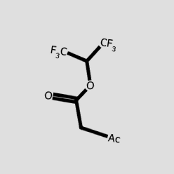 CC(=O)CC(=O)OC(C(F)(F)F)C(F)(F)F